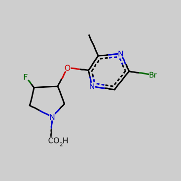 Cc1nc(Br)cnc1OC1CN(C(=O)O)CC1F